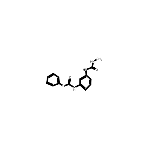 CNC(=O)Nc1cccc(NC(=O)Oc2ccccc2)c1